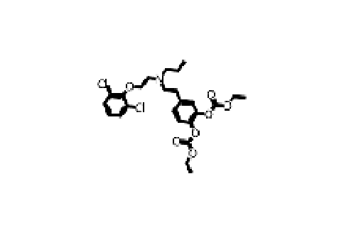 CCCN(CCOc1c(Cl)cccc1Cl)CCc1ccc(OC(=O)OCC)c(OC(=O)OCC)c1